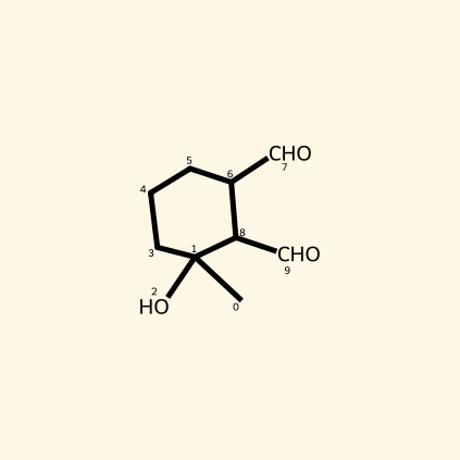 CC1(O)CCCC(C=O)C1C=O